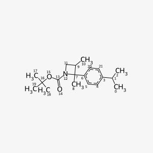 CC(C)c1ccc(C2(C)C(C)CN2C(=O)OC(C)(C)C)cc1